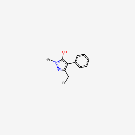 CCCn1nc(CC(C)C)c(-c2ccccc2)c1O